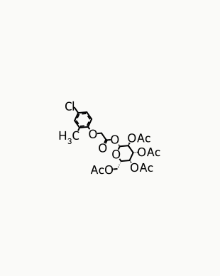 CC(=O)OC[C@@H]1O[C@H](OC(=O)COc2ccc(Cl)cc2C)[C@@H](OC(C)=O)[C@H](OC(C)=O)[C@@H]1OC(C)=O